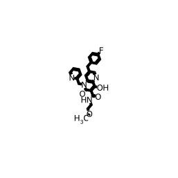 COCCNC(=O)c1c(O)c2ncc(Cc3ccc(F)cc3)cc2n(Cc2ccccn2)c1=O